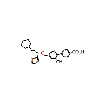 Cc1cc(COC(CCC2CCCCC2)c2cccs2)ccc1-c1ccc(C(=O)O)cc1